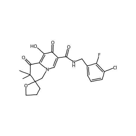 CC1(C)C(=O)c2c(O)c(=O)c(C(=O)NCc3cccc(Cl)c3F)cn2CC12CCCO2